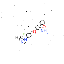 Cc1nccn1-c1ccc(COC2=CCC(C(N)=O)(c3ccccc3)C2)cc1F